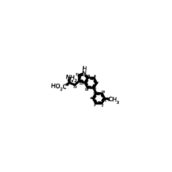 Cc1cccc(-c2ccc3[nH]cc(CC(N)C(=O)O)c3c2)c1